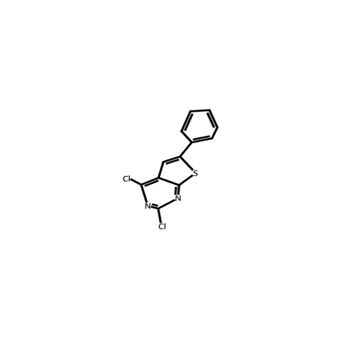 Clc1nc(Cl)c2cc(-c3ccccc3)sc2n1